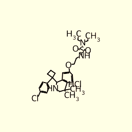 CCN(CC)S(=O)(=O)NCCOc1ccc2c(c1)C(C1(c3ccc(Cl)cc3)CCC1)NCC2(C)C.Cl